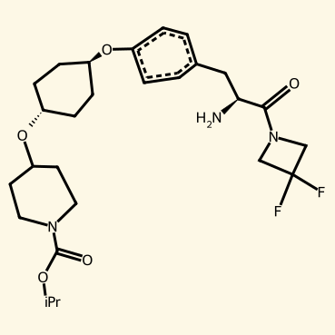 CC(C)OC(=O)N1CCC(O[C@H]2CC[C@H](Oc3ccc(C[C@H](N)C(=O)N4CC(F)(F)C4)cc3)CC2)CC1